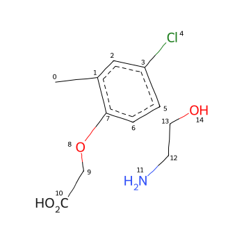 Cc1cc(Cl)ccc1OCC(=O)O.NCCO